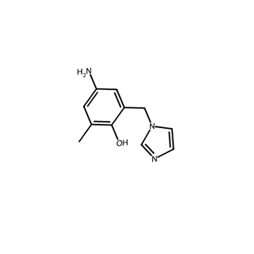 Cc1cc(N)cc(Cn2ccnc2)c1O